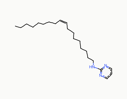 CCCCCCCC/C=C\CCCCCCCCNc1ncccn1